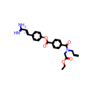 C=CCN(CC(=O)OCC)C(=O)c1ccc(C(=O)Oc2ccc(/C=C/C(=N)N)cc2)cc1